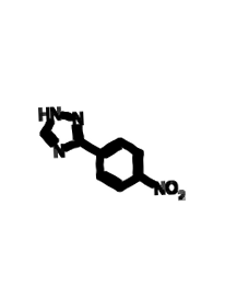 O=[N+]([O-])c1ccc(-c2nc[nH]n2)cc1